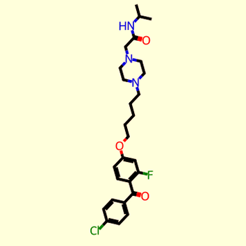 CC(C)NC(=O)CN1CCN(CCCCCOc2ccc(C(=O)c3ccc(Cl)cc3)c(F)c2)CC1